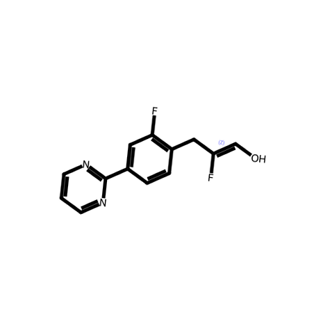 O/C=C(\F)Cc1ccc(-c2ncccn2)cc1F